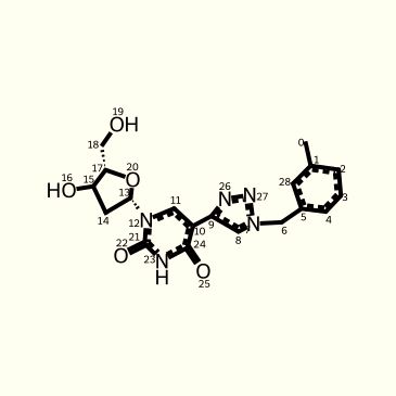 Cc1cccc(Cn2cc(-c3cn([C@@H]4CC(O)[C@H](CO)O4)c(=O)[nH]c3=O)nn2)c1